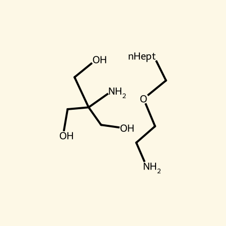 CCCCCCCCOCCN.NC(CO)(CO)CO